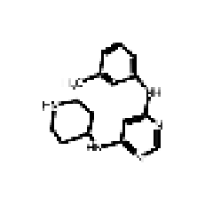 Cc1cccc(Nc2cc(NC3CCNCC3)ncn2)c1